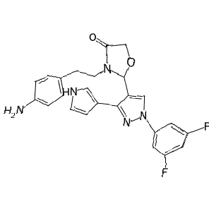 Nc1ccc(CCN2C(=O)COC2c2cn(-c3cc(F)cc(F)c3)nc2-c2cc[nH]c2)cc1